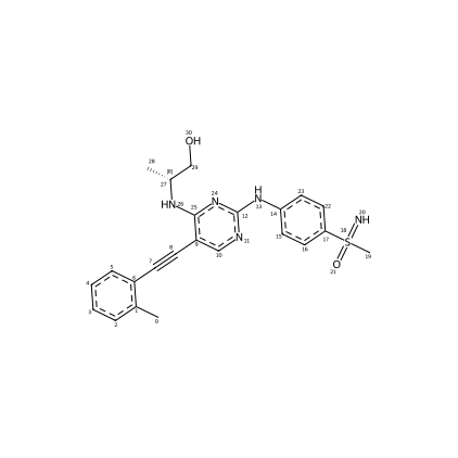 Cc1ccccc1C#Cc1cnc(Nc2ccc(S(C)(=N)=O)cc2)nc1N[C@H](C)CO